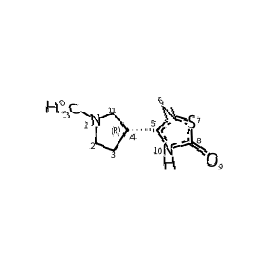 CN1CC[C@@H](c2nsc(=O)[nH]2)C1